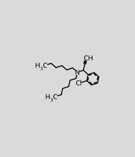 C#CC(c1ccccc1Cl)N(CCCCCC)CCCCCC